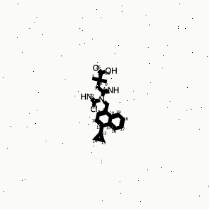 CC(C)(CC(=N)N(Cc1ccc(C2CC2)c2ccccc12)C(=N)Cl)C(=O)O